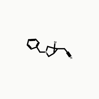 N#CCC1C2CN(Cc3ccccc3)CC12Br